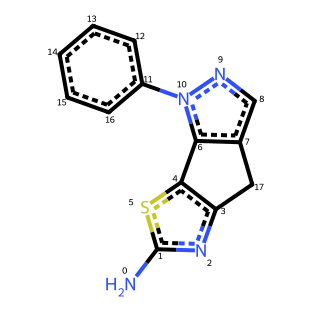 Nc1nc2c(s1)-c1c(cnn1-c1ccccc1)C2